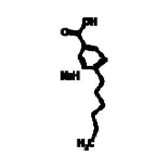 CCCCCCc1ccc(C(=O)O)cc1.[NaH]